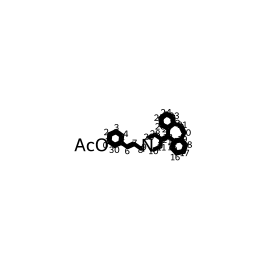 CC(=O)Oc1cccc(/C=C/CN2CCC(=C3c4ccccc4C=Cc4ccccc43)CC2)c1